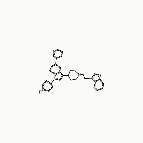 Fc1ccc(-n2cc(C3CCN(CCc4coc5ccccc45)CC3)c3cc(-c4cccnc4)ccc32)cc1